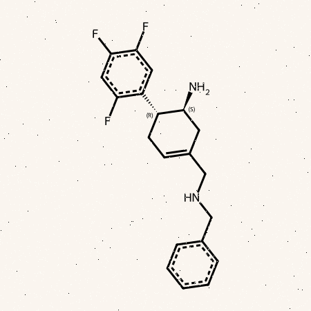 N[C@H]1CC(CNCc2ccccc2)=CC[C@@H]1c1cc(F)c(F)cc1F